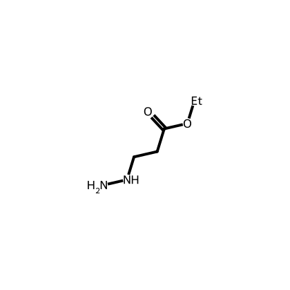 CCOC(=O)CCNN